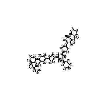 CC1(C)c2ccccc2-c2ccc(-c3ccc(-c4cc(-c5ccc(-c6ccc(-c7cccc8oc9ccccc9c78)cc6)cc5)nc(-c5ccccc5)n4)cc3)cc21